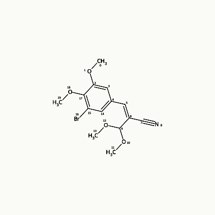 COc1cc(C=C(C#N)C(OC)OC)cc(Br)c1OC